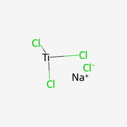 [Cl-].[Cl][Ti]([Cl])[Cl].[Na+]